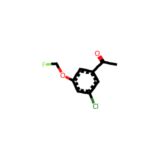 CC(=O)c1cc(Cl)cc(OCF)c1